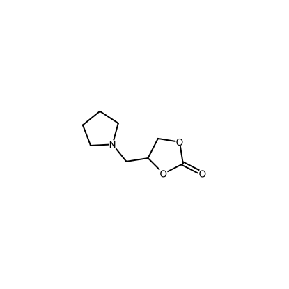 O=C1OCC(CN2CCCC2)O1